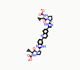 COC(=O)N[C@H](C(=O)N1CCC[C@H]1c1ncc(-c2ccc3nc(-c4ccc5nc([C@@H]6CCCN6C(=O)[C@@H](NC(=O)OC)C6CC6)[nH]c5c4)ccc3c2)[nH]1)C1CC1